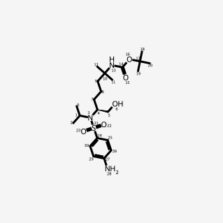 CC(C)N([C@H](CO)CCCC(C)(C)NC(=O)OC(C)(C)C)S(=O)(=O)c1ccc(N)cc1